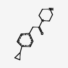 O=C(Cc1ccc(C2CC2)cc1)N1CCNCC1